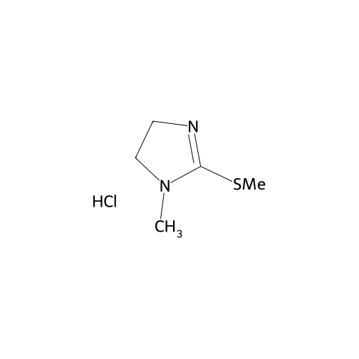 CSC1=NCCN1C.Cl